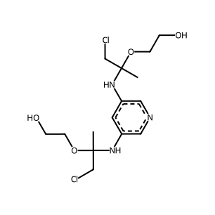 CC(CCl)(Nc1cncc(NC(C)(CCl)OCCO)c1)OCCO